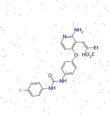 CCC(=Cc1c(Oc2ccc(NC(=O)Nc3ccc(F)cc3)cc2)ccnc1N)C(=O)O